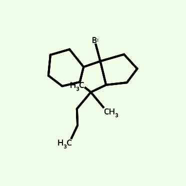 [B]C1(C2CCCCC2)CCCC1C(C)(C)CCC